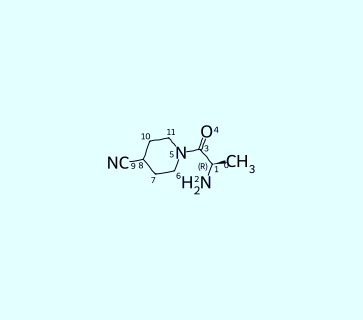 C[C@@H](N)C(=O)N1CCC(C#N)CC1